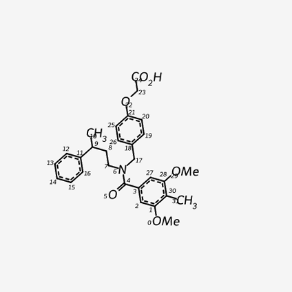 COc1cc(C(=O)N(CCC(C)c2ccccc2)Cc2ccc(OCC(=O)O)cc2)cc(OC)c1C